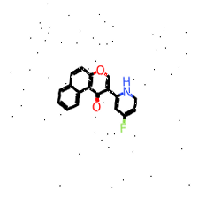 O=c1c(C2=CC(F)=CCN2)coc2ccc3ccccc3c12